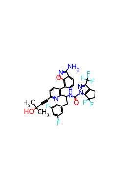 CC(C)(O)C#Cc1ccc(-c2cccc3c(N)noc23)c(C(Cc2cc(F)cc(F)c2)NC(=O)n2nc(C(F)(F)F)c3c2C(F)(F)CC3)n1